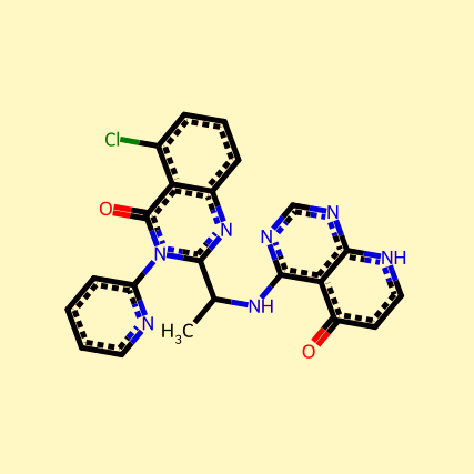 CC(Nc1ncnc2[nH]ccc(=O)c12)c1nc2cccc(Cl)c2c(=O)n1-c1ccccn1